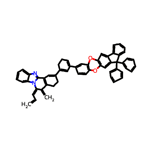 C=C/C=c1\c(=C)c2c(c3nc4ccccc4n13)C=C(C1=CC(c3ccc4c(c3)Oc3cc5c(cc3O4)C(c3ccccc3)(c3ccccc3)c3ccccc3-5)=CCC1)CC2